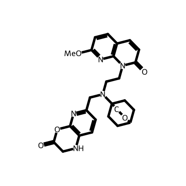 COc1ccc2ccc(=O)n(CCN(Cc3ccc4c(n3)OC(=O)CN4)C34CCC(CC3)OC4)c2n1